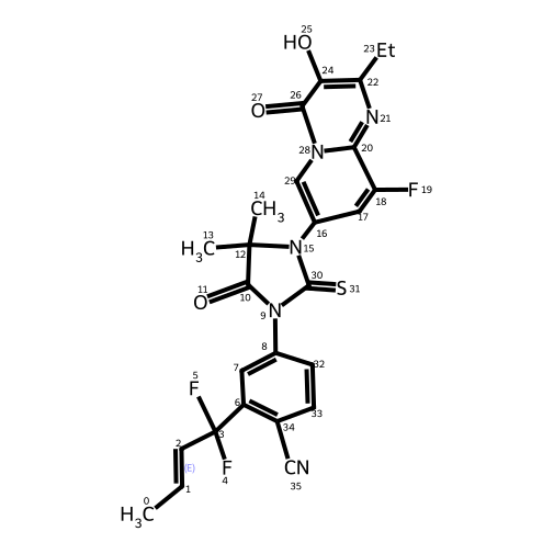 C/C=C/C(F)(F)c1cc(N2C(=O)C(C)(C)N(c3cc(F)c4nc(CC)c(O)c(=O)n4c3)C2=S)ccc1C#N